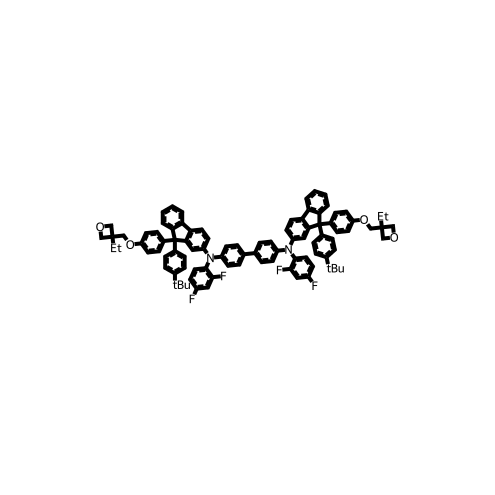 CCC1(COc2ccc(C3(c4ccc(C(C)(C)C)cc4)c4ccccc4-c4ccc(N(c5ccc(-c6ccc(N(c7ccc8c(c7)C(c7ccc(OCC9(CC)COC9)cc7)(c7ccc(C(C)(C)C)cc7)c7ccccc7-8)c7ccc(F)cc7F)cc6)cc5)c5ccc(F)cc5F)cc43)cc2)COC1